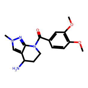 COc1ccc(C(=O)N2CCC(N)c3cn(C)nc32)cc1OC